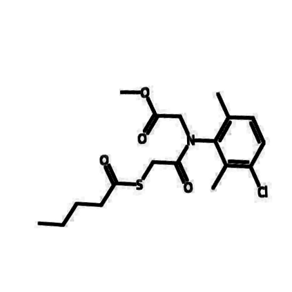 CCCCC(=O)SCC(=O)N(CC(=O)OC)c1c(C)ccc(Cl)c1C